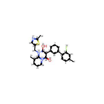 Cc1ccc(-c2cccc(-c3c(O)[n+](Cc4cnc(C)s4)c4c(C)cccn4c3=O)c2)c(F)c1